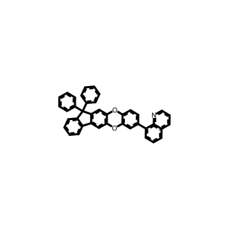 c1ccc(C2(c3ccccc3)c3ccccc3-c3cc4c(cc32)Oc2ccc(-c3cccc5cccnc35)cc2O4)cc1